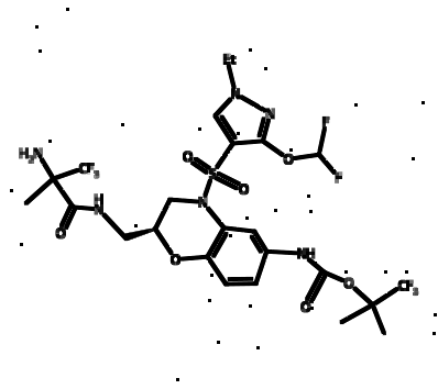 CCn1cc(S(=O)(=O)N2C[C@H](CNC(=O)C(C)(N)C(F)(F)F)Oc3ccc(NC(=O)OC(C)(C)C(F)(F)F)cc32)c(OC(F)F)n1